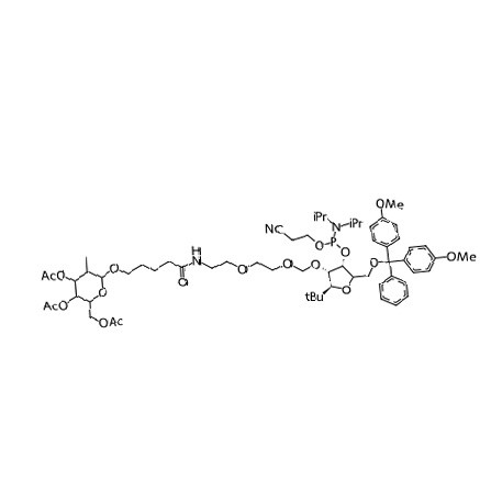 COc1ccc(C(OCC2O[C@@H](C(C)(C)C)[C@H](OCOCCOCCNC(=O)CCCCOC3OC(COC(C)=O)C(OC(C)=O)C(OC(C)=O)C3C)[C@@H]2OP(OCCC#N)N(C(C)C)C(C)C)(c2ccccc2)c2ccc(OC)cc2)cc1